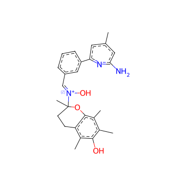 Cc1cc(N)nc(-c2cccc(/C=[N+](\O)C3(C)CCc4c(C)c(O)c(C)c(C)c4O3)c2)c1